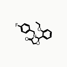 CCOc1ccccc1C1OCC(=O)N1Cc1ccc(F)cc1